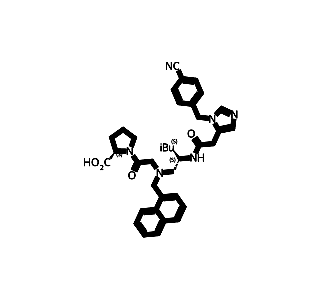 CC[C@H](C)[C@@H](CN(CC(=O)N1CCC[C@H]1C(=O)O)Cc1cccc2ccccc12)NC(=O)Cc1cncn1Cc1ccc(C#N)cc1